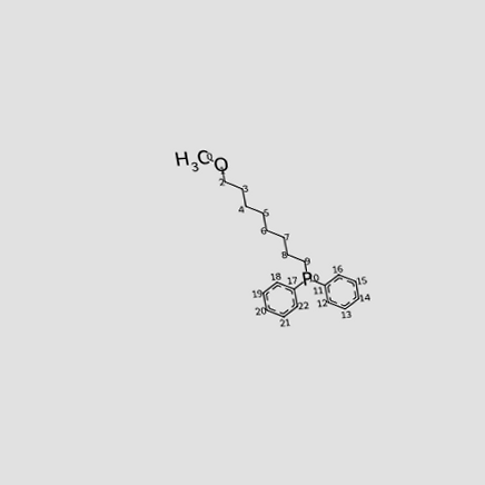 COCCCCCCCCP(c1ccccc1)c1ccccc1